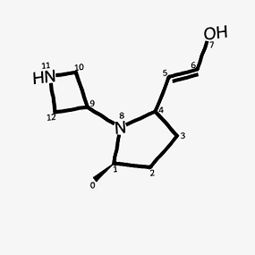 C[C@@H]1CCC(/C=C/O)N1C1CNC1